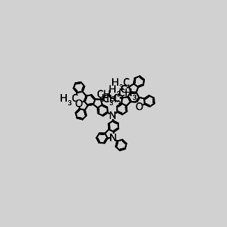 Cc1ccccc1-c1cc2c(c3c1oc1ccccc13)-c1ccc(N(c3ccc4c(c3)C(C)(C)c3c5c(c6c(oc7ccccc76)c3-4)-c3ccccc3C5(C)C)c3ccc4c(c3)c3ccccc3n4-c3ccccc3)cc1C2(C)C